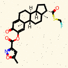 Cc1cc(C(=O)OC2=C[C@@]3(C)C(=CC2=O)CC[C@H]2[C@@H]4CC[C@H](C(=O)SCF)[C@@]4(C)CC[C@@H]23)no1